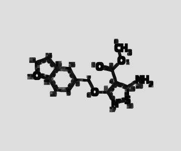 COC(=O)c1c(OCc2ccc3occc3c2)nsc1N